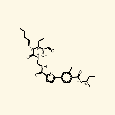 CCCCC[C@@H](C(=O)NCNC(=O)c1ccc(-c2ccc(C(=O)N[C@H](C)CC)c(C)c2)o1)[C@@H](CC)N(O)C=O